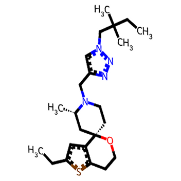 CCc1cc2c(s1)CCO[C@@]21CCN(Cc2cn(CC(C)(C)CC)nn2)[C@@H](C)C1